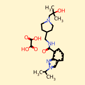 CC(C)n1cc2cccc(C(=O)NCC3CCN(CC(C)(C)O)CC3)c2n1.O=C(O)C(=O)O